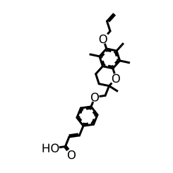 C=CCOc1c(C)c(C)c2c(c1C)CCC(C)(COc1ccc(/C=C/C(=O)O)cc1)O2